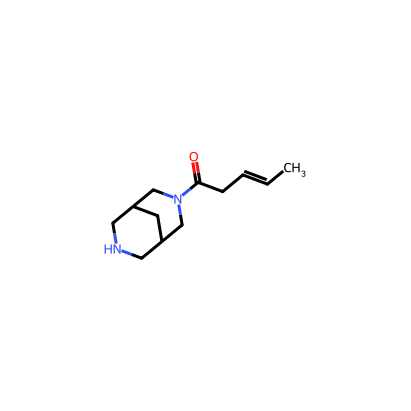 CC=CCC(=O)N1CC2CNCC(C2)C1